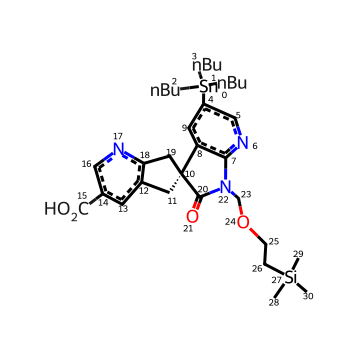 CCC[CH2][Sn]([CH2]CCC)([CH2]CCC)[c]1cnc2c(c1)[C@@]1(Cc3cc(C(=O)O)cnc3C1)C(=O)N2COCC[Si](C)(C)C